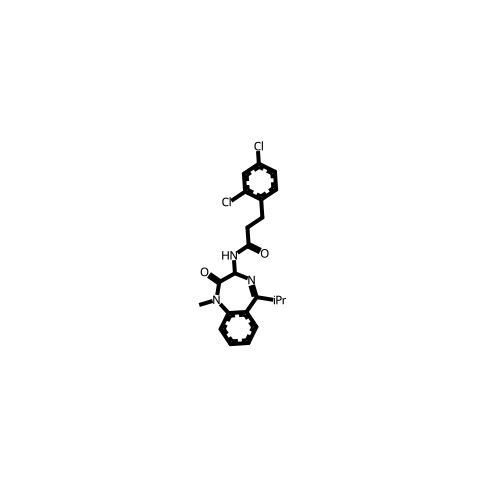 CC(C)C1=NC(NC(=O)CCc2ccc(Cl)cc2Cl)C(=O)N(C)c2ccccc21